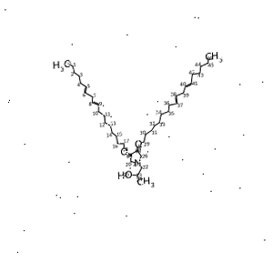 CCCCCC=CCC=CCCCCCCCCO[C@@H]1CN(CC(C)O)C[C@H]1OCCCCCCCCC=CCC=CCCCCC